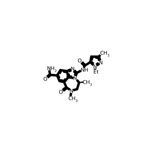 CCn1nc(C)cc1C(=O)Nc1nc2cc(C(N)=O)cc3c2n1[C@@H](C)CN(C)C3=O